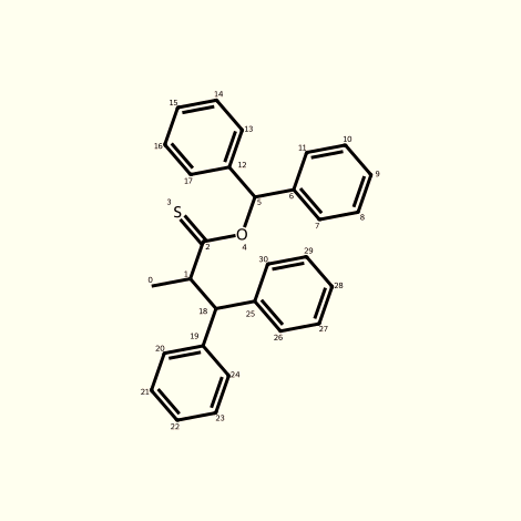 CC(C(=S)OC(c1ccccc1)c1ccccc1)C(c1ccccc1)c1ccccc1